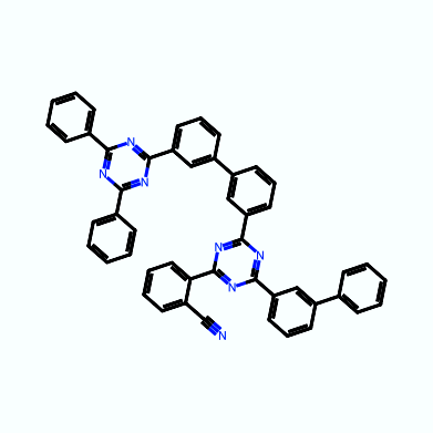 N#Cc1ccccc1-c1nc(-c2cccc(-c3ccccc3)c2)nc(-c2cccc(-c3cccc(-c4nc(-c5ccccc5)nc(-c5ccccc5)n4)c3)c2)n1